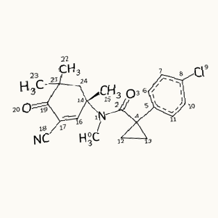 CN(C(=O)C1(c2ccc(Cl)cc2)CC1)[C@]1(C)C=C(C#N)C(=O)C(C)(C)C1